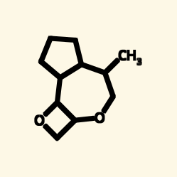 CC1COC2COC2C2CCCC12